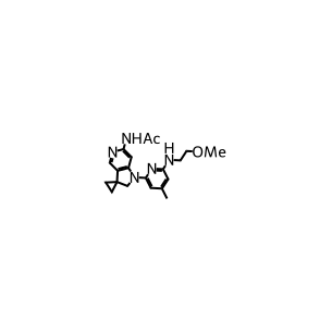 COCCNc1cc(C)cc(N2CC3(CC3)c3cnc(NC(C)=O)cc32)n1